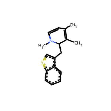 CC1=C(C)C(Cc2csc3ccccc23)N(C)C=C1